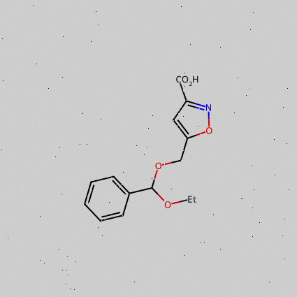 CCOC(OCc1cc(C(=O)O)no1)c1ccccc1